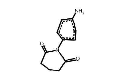 Nc1ccc(N2C(=O)CCCC2=O)cc1